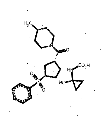 CC1CCN(C(=O)[C@@H]2CC[C@@H](S(=O)(=O)c3ccccc3)C2)CC1.N#CC1(NC(=O)O)CC1